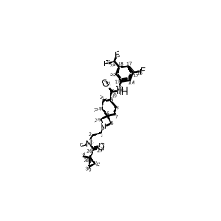 CN(CCN1CC2(CCC(C(=O)Nc3cc(F)cc(C(F)F)c3)CC2)C1)C(=O)C1(C)CC1